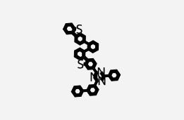 c1ccc(-c2cccc(-c3nc(-c4ccccc4)nc(-c4ccc5c(c4)sc4cccc(-c6ccccc6-c6ccc7c(c6)sc6ccccc67)c45)n3)c2)cc1